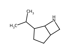 CC(C)C1CCC2CNC21